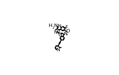 Cc1ncccc1C#Cc1ccc2c(c1)OCC2N(C)C(=O)c1cc2c(cc1F)nc(N)c1cnn(C)c12